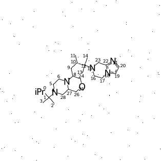 CC(C)C(C)(C)N1CCN2C(CC(C)C(C)(C)N3CCn4ccnc4C3)COCC2C1